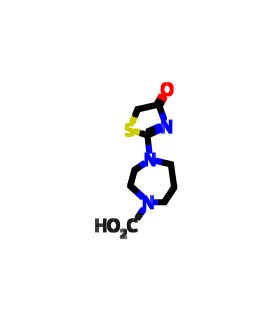 O=C1CSC(N2CCCN(C(=O)O)CC2)=N1